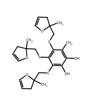 Cc1c(O)c(O)c(SCC2(C)CC=CO2)c(SCC2(C)CC=CO2)c1SCC1(C)CC=CO1